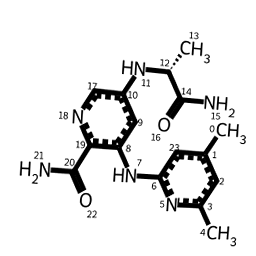 Cc1cc(C)nc(Nc2cc(N[C@H](C)C(N)=O)cnc2C(N)=O)c1